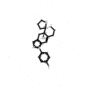 C[C@]12Cc3cnn(-c4ccc(F)cc4)c3C=C1CCC[C@@]21CCCO1